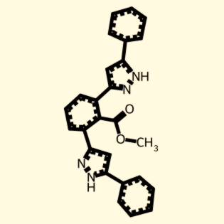 COC(=O)c1c(-c2cc(-c3ccccc3)[nH]n2)cccc1-c1cc(-c2ccccc2)[nH]n1